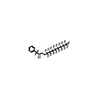 CC(C)(NCCC(F)(F)C(F)(F)C(F)(F)C(F)(F)C(F)(F)C(F)(F)C(F)(F)C(F)(F)F)c1ccccc1